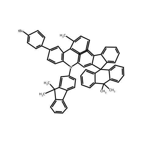 Cc1ccccc1-c1cc(-c2ccc(C(C)(C)C)cc2)ccc1N(c1ccc2c(c1)C(C)(C)c1ccccc1-2)c1ccc2c(c1)C1(c3ccccc3-2)c2ccccc2C(C)(C)c2ccccc21